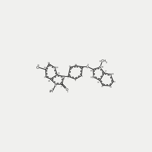 CC(C)n1c(=O)n(-c2ccc(Oc3nc4cccnc4n3C)cc2)c2ncc(Cl)cc21